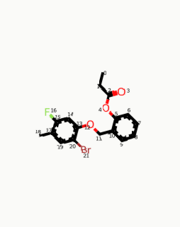 CCC(=O)Oc1ccccc1COc1cc(F)c(C)cc1Br